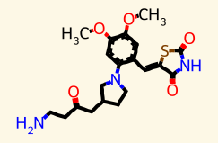 COc1cc(/C=C2\SC(=O)NC2=O)c(N2CCC(CC(=O)CCN)C2)cc1OC